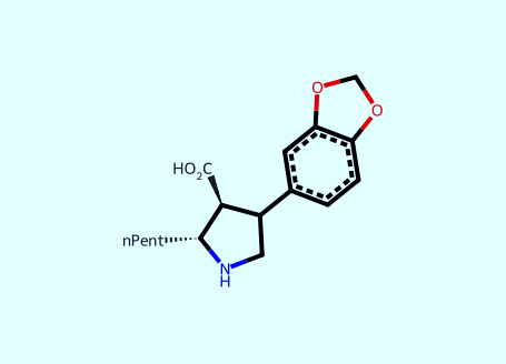 CCCCC[C@H]1NCC(c2ccc3c(c2)OCO3)[C@@H]1C(=O)O